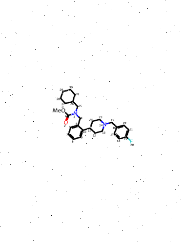 COC(=O)N(Cc1ccccc1C1CCN(Cc2ccc(F)cc2)CC1)CC1CCCCC1